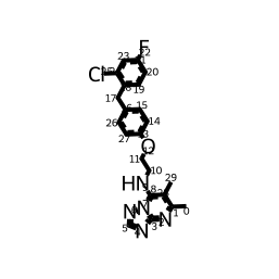 Cc1nc2ncnn2c(NCCOc2ccc(Cc3ccc(F)cc3Cl)cc2)c1C